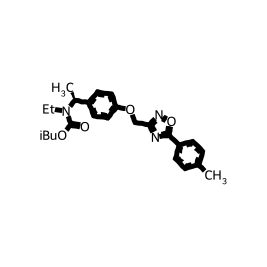 CCN(C(=O)OCC(C)C)[C@@H](C)c1ccc(OCc2noc(-c3ccc(C)cc3)n2)cc1